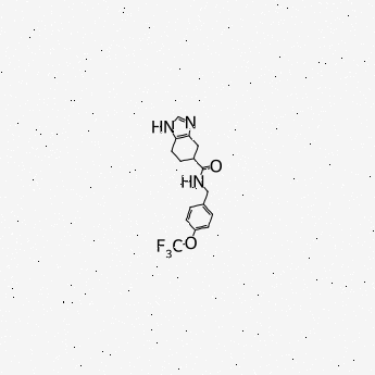 O=C(NCc1ccc(OC(F)(F)F)cc1)C1CCc2[nH]cnc2C1